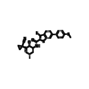 CSc1ccc(-c2ccc3c(F)c(C(=O)NC(CC(C)C)C(=O)NC4(C#N)CC4)sc3c2)cc1